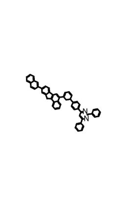 C1=CC(c2ccc(-c3cc(-c4ccccc4)nc(-c4ccccc4)n3)cc2)CC(c2cc3c(c4ccccc24)Cc2cc(-c4ccc5ccccc5c4)ccc2-3)=C1